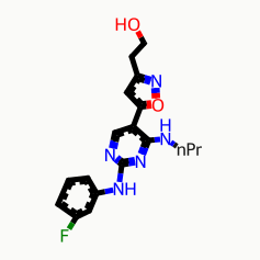 CCCNc1nc(Nc2cccc(F)c2)ncc1-c1cc(CCO)no1